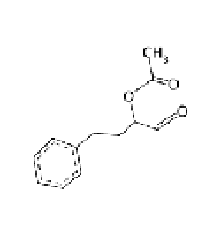 CC(=O)OC(C=O)CCc1ccccc1